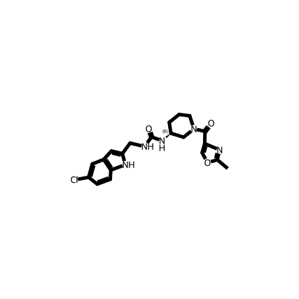 Cc1nc(C(=O)N2CCC[C@@H](NC(=O)NCc3cc4cc(Cl)ccc4[nH]3)C2)co1